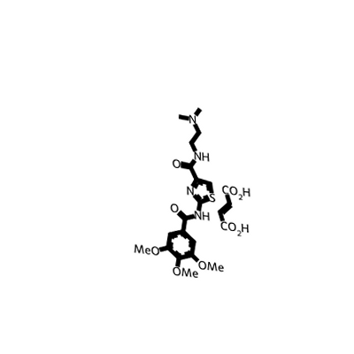 COc1cc(C(=O)Nc2nc(C(=O)NCCN(C)C)cs2)cc(OC)c1OC.O=C(O)C=CC(=O)O